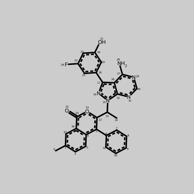 Cc1ccc2c(-c3ccccc3)c(C(C)n3nc(-c4cc(O)cc(F)c4)c4c(N)ncnc43)oc(=O)c2c1